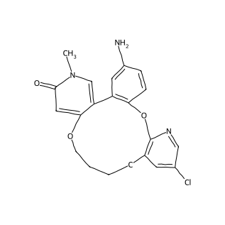 Cn1cc2c(cc1=O)OCCCCc1cc(Cl)cnc1Oc1ccc(N)cc1-2